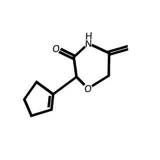 C=C1COC(C2=CCCC2)C(=O)N1